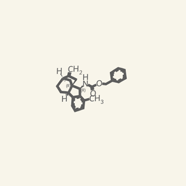 C=C1C[C@]23C[C@H]1CC[C@H]2c1cccc(C)c1[C@@H]3NC(=O)OCc1ccccc1